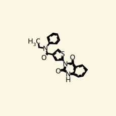 CCN(C(=O)c1csc(-n2c(=O)[nH]c3ccccc3c2=O)c1)c1ccccc1